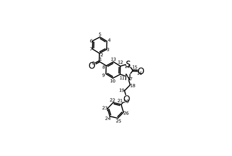 O=C(c1ccccc1)c1ccc2c(c1)sc(=O)n2CCOc1c[c]ccc1